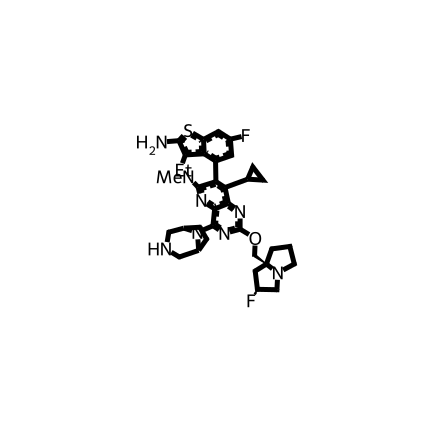 CCc1c(N)sc2cc(F)cc(-c3c(NC)nc4c(N5C6CCC5CNC6)nc(OC[C@@]56CCCN5C[C@H](F)C6)nc4c3C3CC3)c12